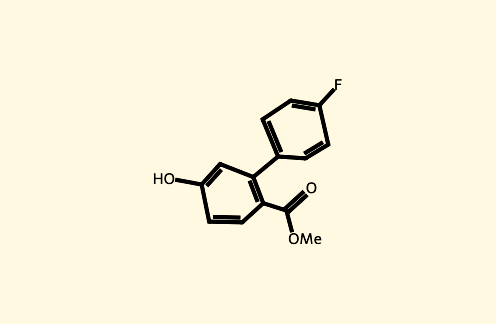 COC(=O)c1ccc(O)cc1-c1ccc(F)cc1